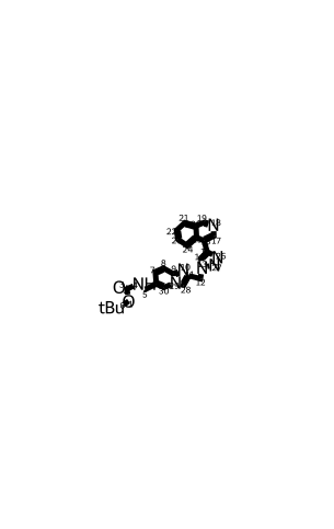 CC(C)(C)OC(=O)NCc1ccc2nc(Cn3cc(-c4cncc5ccccc45)nn3)cn2c1